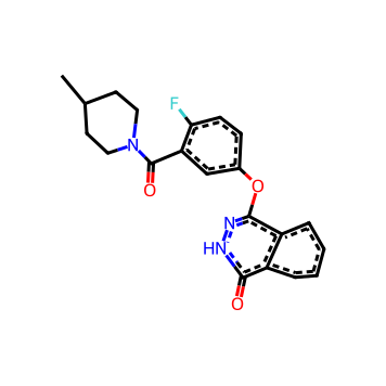 CC1CCN(C(=O)c2cc(Oc3n[nH]c(=O)c4ccccc34)ccc2F)CC1